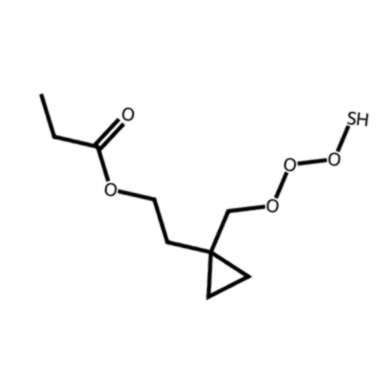 CCC(=O)OCCC1(COOOS)CC1